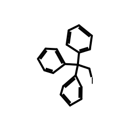 ICC(c1ccccc1)(c1ccccc1)c1ccccc1